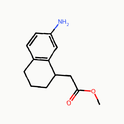 COC(=O)CC1CCCc2ccc(N)cc21